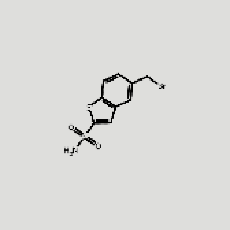 NS(=O)(=O)c1cc2cc(CBr)ccc2s1